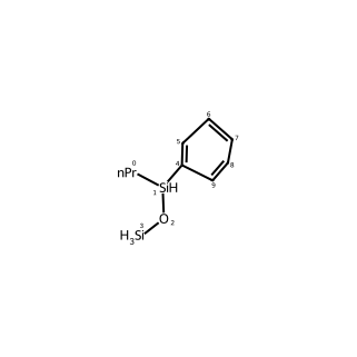 CCC[SiH](O[SiH3])c1ccccc1